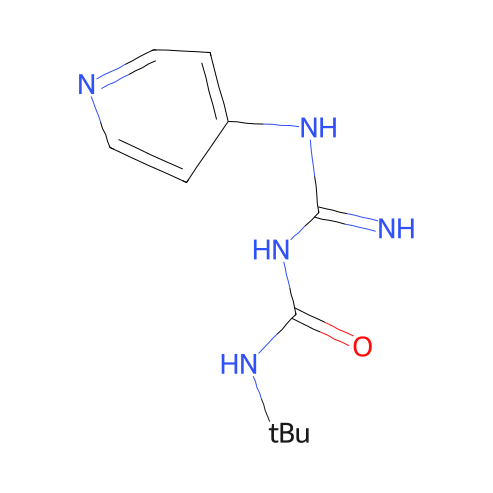 CC(C)(C)NC(=O)NC(=N)Nc1ccncc1